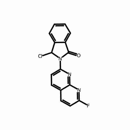 O=C1c2ccccc2C(Cl)N1c1ccc2ccc(F)nc2n1